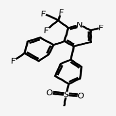 CS(=O)(=O)c1ccc(-c2cc(F)nc(C(F)(F)F)c2-c2ccc(F)cc2)cc1